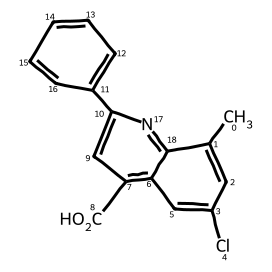 Cc1cc(Cl)cc2c(C(=O)O)cc(-c3ccccc3)nc12